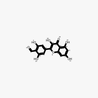 O=Cc1c(O)cc(-c2oc3cc(O)cc(O)c3c(=O)c2O)cc1O